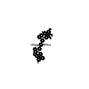 C=CC1=C(/C=C\C)C(c2ccc(C)cc2)(c2ccc(C=C)cc2)c2cc(N(c3ccc(-c4cc(CCCCCC)c(-c5ccc(N(c6ccc7c(c6)C(c6ccc(C)cc6)(c6ccc(C=C)cc6)c6ccccc6-7)c6cccc7ccccc67)cc5)cc4CCCCCC)cc3)c3cccc4ccccc34)ccc21